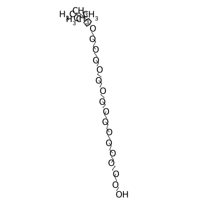 CC(C)(C)CC(C)(C)c1ccc(OCCOCCOCCOCCOCCOCCOCCOCCOCCOCCOCCOCCOCCOCCOCCOCCO)cc1